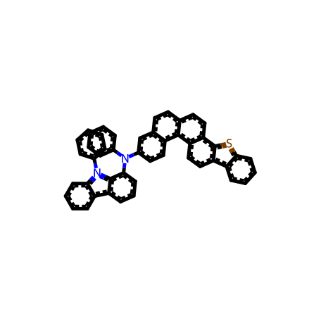 c1ccc(N(c2ccc3c(ccc4ccc5c(ccc6c7ccccc7sc65)c43)c2)c2cccc3c4ccccc4n(-c4ccccc4)c23)cc1